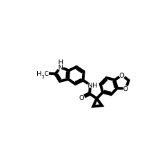 Cc1cc2cc(NC(=O)C3(c4ccc5c(c4)OCO5)CC3)ccc2[nH]1